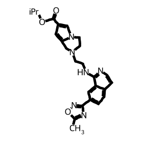 Cc1nc(-c2ccc3ccnc(NCCN4CCn5cc(C(=O)OC(C)C)cc5C4)c3c2)no1